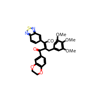 COc1cc(C/C(C(=O)c2ccc3c(c2)OCCO3)=C(\C(=O)O)c2ccc3nsnc3c2)cc(OC)c1OC